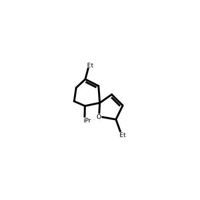 CCC1=CC2(C=CC(CC)O2)C(C(C)C)CC1